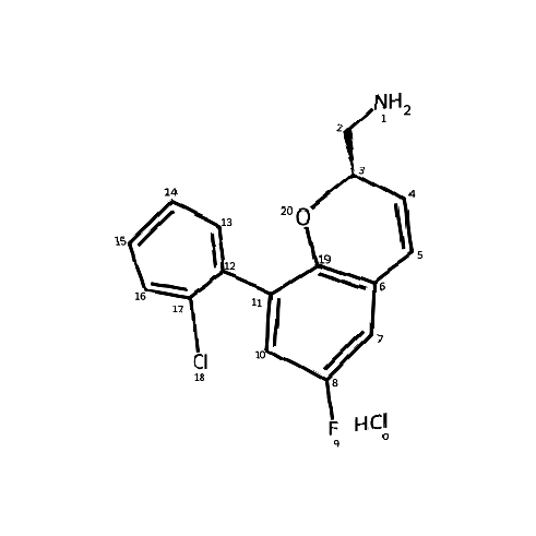 Cl.NC[C@H]1C=Cc2cc(F)cc(-c3ccccc3Cl)c2O1